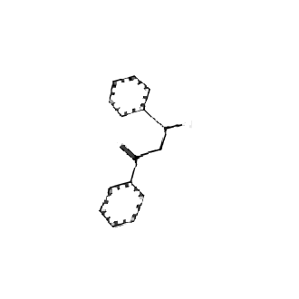 CCCC(CC(=O)c1ccccc1)c1ccccc1